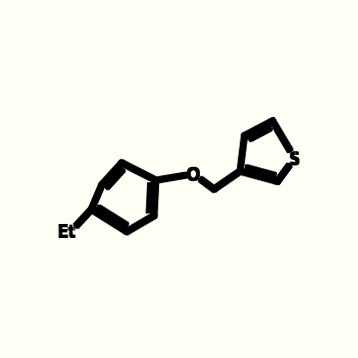 CCc1ccc(OCc2ccsc2)cc1